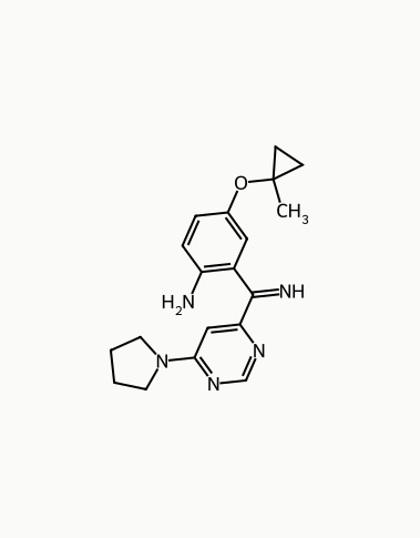 CC1(Oc2ccc(N)c(C(=N)c3cc(N4CCCC4)ncn3)c2)CC1